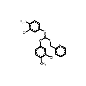 Cc1ccc(OB(OCc2ccccn2)Oc2ccc(C)c(Cl)c2)cc1Cl